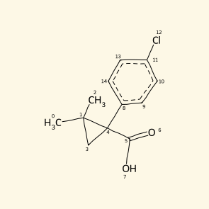 CC1(C)CC1(C(=O)O)c1ccc(Cl)cc1